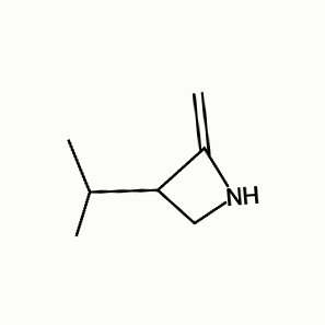 C=C1NCC1C(C)C